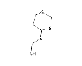 SCSC1CCSCS1